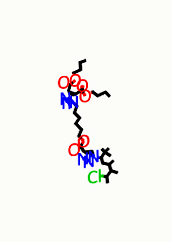 CCCCOC(=O)c1nnn(CCCCCCOC(=O)c2cn(C(CC(C)C(C)C(C)Cl)C(C)(C)C)nn2)c1C(=O)OCCCC